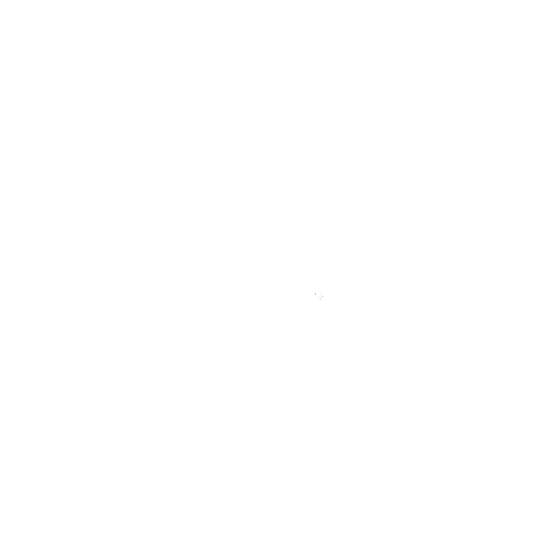 [C-]#[N+]CC(O)CCl